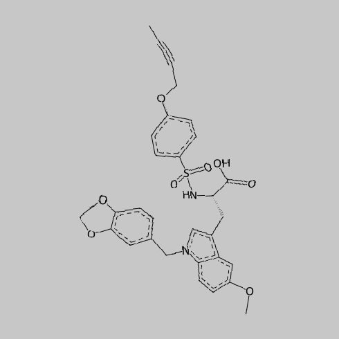 CC#CCOc1ccc(S(=O)(=O)N[C@@H](Cc2cn(Cc3ccc4c(c3)OCO4)c3ccc(OC)cc23)C(=O)O)cc1